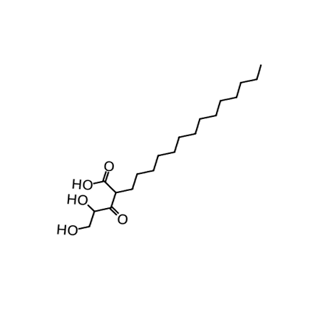 CCCCCCCCCCCCCCC(C(=O)O)C(=O)C(O)CO